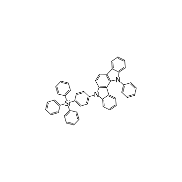 c1ccc(-n2c3ccccc3c3ccc4c(c5ccccc5n4-c4ccc([Si](c5ccccc5)(c5ccccc5)c5ccccc5)cc4)c32)cc1